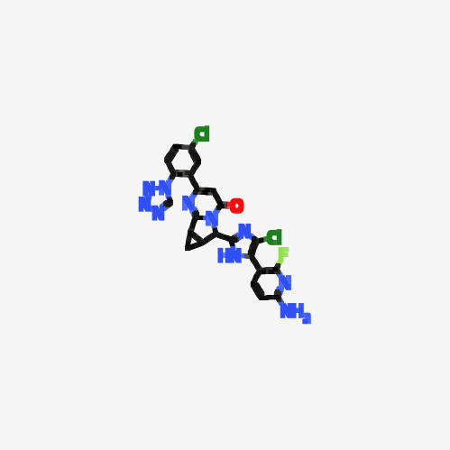 Nc1ccc(-c2[nH]c(C3C4CC4c4nc(-c5cc(Cl)ccc5-n5cnnn5)cc(=O)n43)nc2Cl)c(F)n1